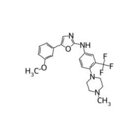 COc1cccc(-c2cnc(Nc3ccc(N4CCN(C)CC4)c(C(F)(F)F)c3)o2)c1